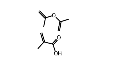 C=C(C)C(=O)O.C=C(C)OC(=C)C